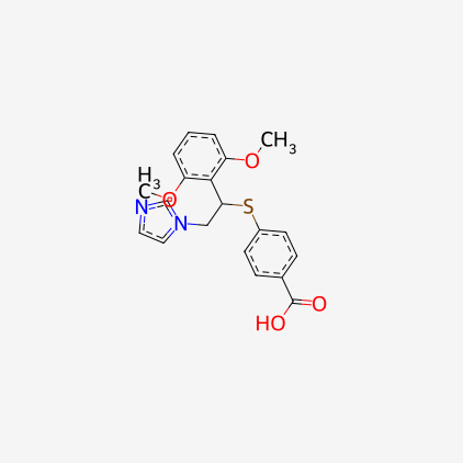 COc1cccc(OC)c1C(Cn1ccnc1)Sc1ccc(C(=O)O)cc1